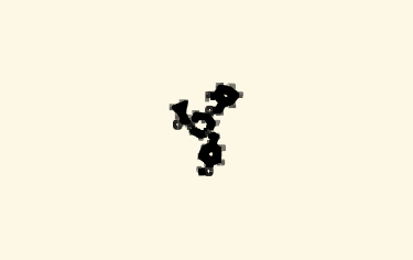 COc1ccc(CN2CCN(C(=O)C3CC3)CC(OCc3ccccc3F)C2)cc1